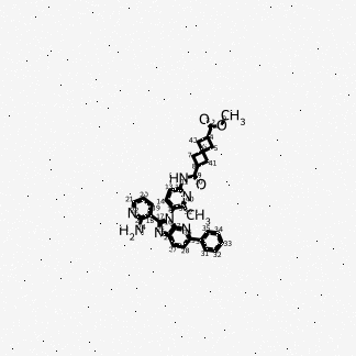 COC(=O)C1CC2(CC(C(=O)Nc3ccc(-n4c(-c5cccnc5N)nc5ccc(-c6ccccc6)nc54)c(C)n3)C2)C1